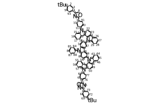 CC(C)(C)c1ccc(-c2coc(-c3ccc(-n4c5ccccc5c5c4ccc4c6ccccc6n(-c6ccc7c(c6)c6cc(-n8c9ccccc9c9ccc%10c(c%11ccccc%11n%10-c%10ccc(-c%11nc(-c%12ccc(C(C)(C)C)cc%12)no%11)cc%10)c98)ccc6n7-c6ccccc6)c45)cc3)n2)cc1